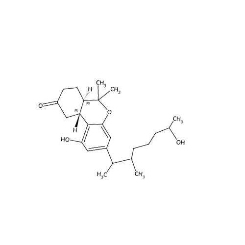 CC(O)CCCC(C)C(C)c1cc(O)c2c(c1)OC(C)(C)[C@@H]1CCC(=O)C[C@@H]21